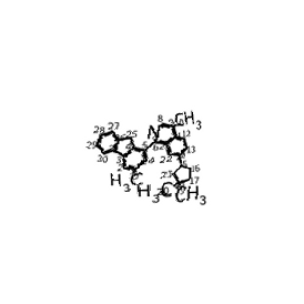 Cc1cc2c(c(-c3ncc(C)c4ccc(C5CCC(C)(C)C5)cc34)c1)Cc1ccccc1-2